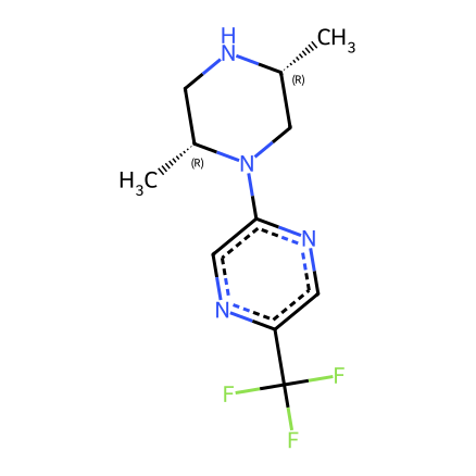 C[C@@H]1CN(c2cnc(C(F)(F)F)cn2)[C@H](C)CN1